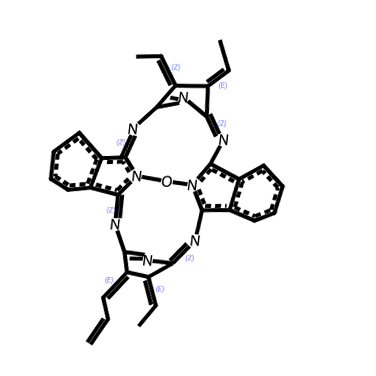 C=C/C=C1C2=NC(=N\c3c4ccccc4c4n3On3/c(c5ccccc5/c3=N/2)=N\C2=NC(=N\4)/C(=C/C)C/2=C/C)/C/1=C/C